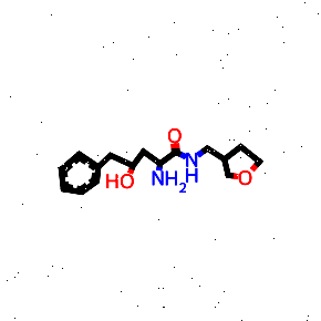 NC(CC(O)Cc1ccccc1)C(=O)NCC1CCOC1